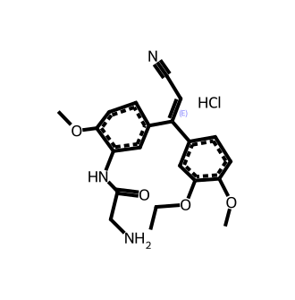 CCOc1cc(/C(=C/C#N)c2ccc(OC)c(NC(=O)CN)c2)ccc1OC.Cl